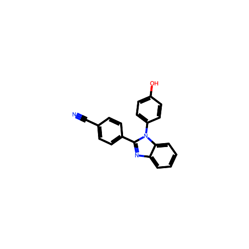 N#Cc1ccc(-c2nc3ccccc3n2-c2ccc(O)cc2)cc1